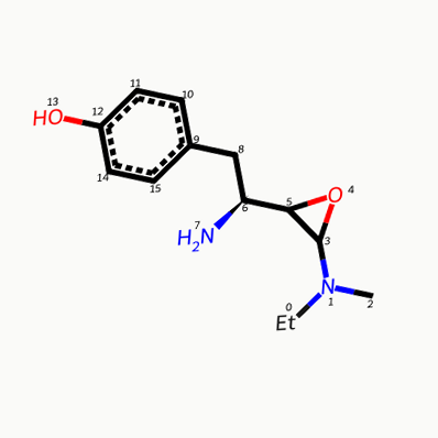 CCN(C)C1OC1[C@@H](N)Cc1ccc(O)cc1